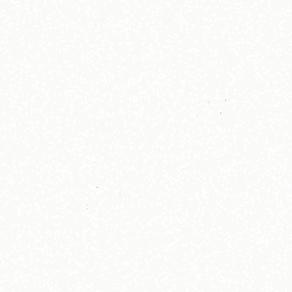 CC(C)[Si](C#Cc1cccc(C(=O)c2ccc(N3C(=O)c4c(C(=O)O)cnn4C[C@@H]3C)cc2)c1)(C(C)C)C(C)C